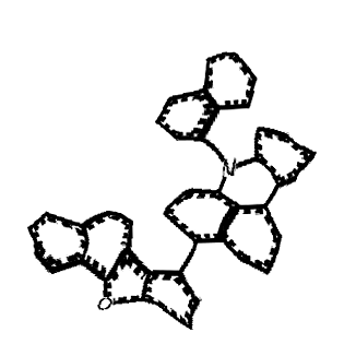 c1ccc(-c2ccccc2N(c2ccc(-c3cccc4oc5c6ccccc6ccc5c34)cc2)c2cccc3ccccc23)cc1